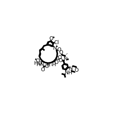 COc1cc2cc(c1Cl)N(C)C(=O)C[C@H](OC(=O)[C@H](C)N(C)C(=O)c1ccc(NC(C)C)c(N3CCOCC3)c1)[C@]1(C)O[C@H]1[C@H](C)[C@@H]1C[C@@](O)(NC(=O)O1)[C@H](OC)/C=C/C=C(\C)C2